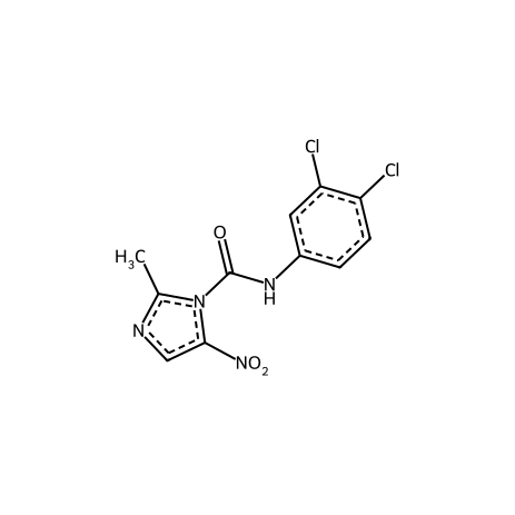 Cc1ncc([N+](=O)[O-])n1C(=O)Nc1ccc(Cl)c(Cl)c1